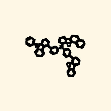 c1ccc(-n2c3ccccc3c3c(-c4cccc(N(c5ccc(-c6cccc7c6oc6ccccc67)cc5)c5cccc6c5oc5c7ccccc7ccc65)c4)cccc32)cc1